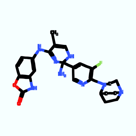 CC1=CNC(N)(c2cnc(N3CCN4CCC3CC4)c(F)c2)N=C1Nc1ccc2oc(=O)[nH]c2c1